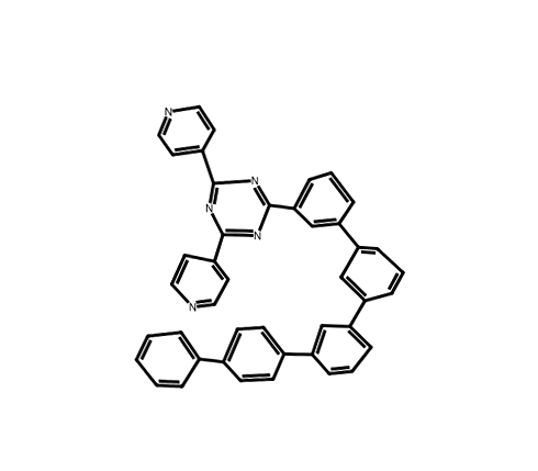 c1ccc(-c2ccc(-c3cccc(-c4cccc(-c5cccc(-c6nc(-c7ccncc7)nc(-c7ccncc7)n6)c5)c4)c3)cc2)cc1